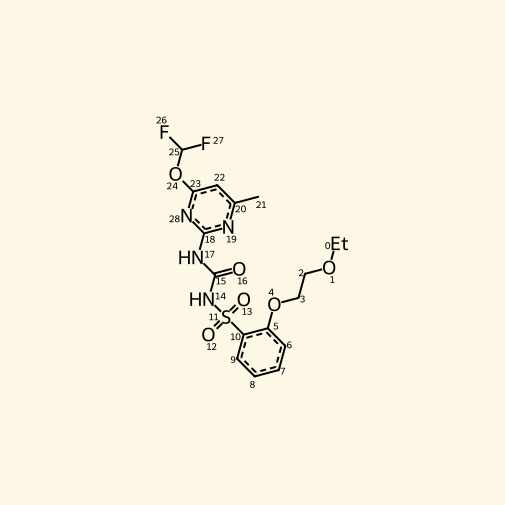 CCOCCOc1ccccc1S(=O)(=O)NC(=O)Nc1nc(C)cc(OC(F)F)n1